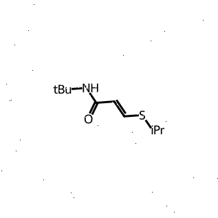 CC(C)S/C=C/C(=O)NC(C)(C)C